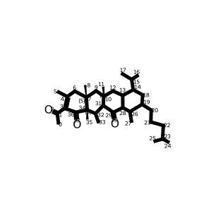 CC(=O)C1=C(C)C[C@]2(C)C[C@]3(C)CC4C(C(C)C)CC(CCCC(C)C)C(C)C4C(=O)C3C(C)[C@]2(C)C1=O